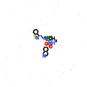 CC(CNCCc1nsc2ccccc12)NS(=O)(=O)c1ccc2cnccc2c1.Cl